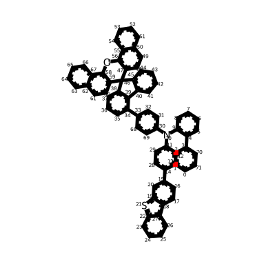 c1ccc(-c2ccccc2N(c2ccc(-c3ccc4c(c3)sc3ccccc34)cc2)c2ccc(-c3cccc4c3-c3ccccc3C43c4ccc5ccccc5c4Oc4c3ccc3ccccc43)cc2)cc1